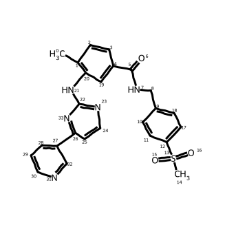 Cc1ccc(C(=O)NCc2ccc(S(C)(=O)=O)cc2)cc1Nc1nccc(-c2cccnc2)n1